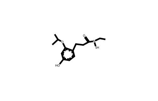 CCN(S)C(=O)CCc1ccc(O)cc1OC(C)C